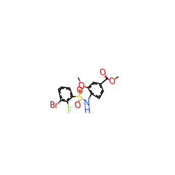 COC(=O)c1ccc(NS(=O)(=O)c2cccc(Br)c2F)c(OC)c1